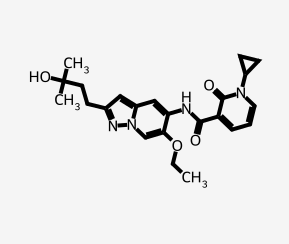 CCOc1cn2nc(CCC(C)(C)O)cc2cc1NC(=O)c1cccn(C2CC2)c1=O